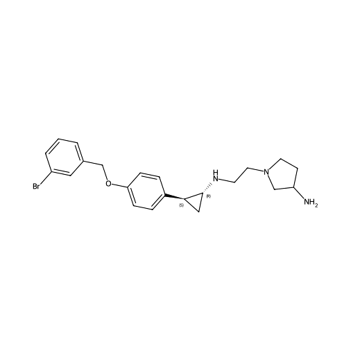 NC1CCN(CCN[C@@H]2C[C@H]2c2ccc(OCc3cccc(Br)c3)cc2)C1